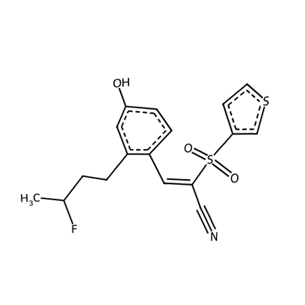 CC(F)CCc1cc(O)ccc1C=C(C#N)S(=O)(=O)c1ccsc1